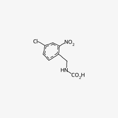 O=C(O)NCc1ccc(Cl)cc1[N+](=O)[O-]